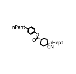 CCCCCCC[C@]1(C#N)CC[C@H](C(=O)Oc2ccc(CCCCC)cc2)CC1